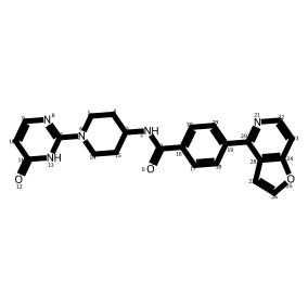 O=C(NC1CCN(c2nccc(=O)[nH]2)CC1)c1ccc(-c2nccc3occc23)cc1